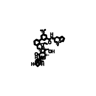 CCOc1c(CN2O[C@@H](CO)[C@@H]([C@H](C)O)[C@H]2C(=O)N[C@H]2C[C@H]3C[C@@H]([C@@H]2C)C3(C)C)cccc1-c1cc(C(=O)N[C@@H](Cc2cccs2)CN(C)C)cc(N(C)C)c1